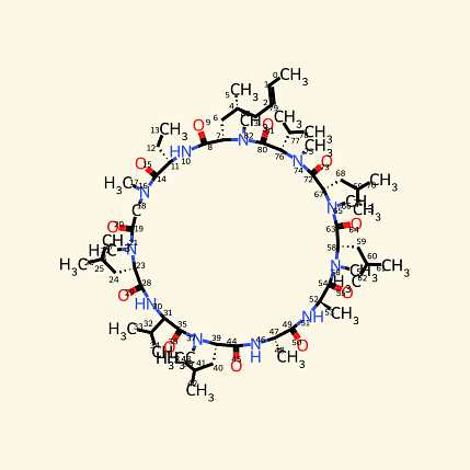 C/C=C/C[C@@H](C)C[C@H]1C(=O)N[C@@H](CC)C(=O)N(C)CC(=O)N(C)[C@@H](CC(C)C)C(=O)NC(C(C)C)C(=O)N(C)[C@@H](CC(C)C)C(=O)N[C@@H](C)C(=O)N[C@H](C)C(=O)N(C)[C@@H](CC(C)C)C(=O)N(C)[C@@H](CC(C)C)C(=O)N(C)[C@@H](C(C)C)C(=O)N1C